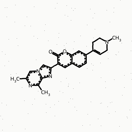 Cc1cn2cc(-c3cc4ccc(C5=CCN(C)CC5)cc4oc3=O)nc2c(C)n1